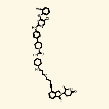 CC(=O)c1ccccc1Nc1nc(Nc2ccc(C3CCN(C(=O)N[C@H]4CC[C@H](NCCOCCC#Cc5cccc6c5CN(C5CCC(=O)NC5=O)C6=O)CC4)CC3)cc2)ncc1Cl